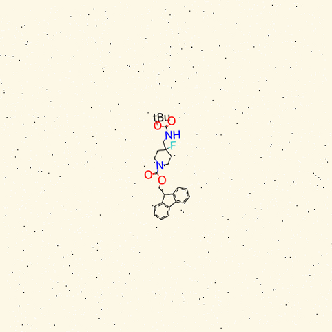 CC(C)(C)OC(=O)NCC1(F)CCN(C(=O)OCC2c3ccccc3-c3ccccc32)CC1